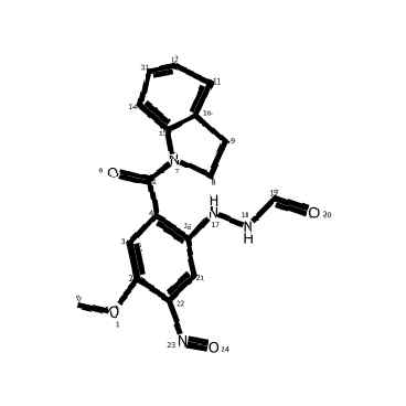 COc1cc(C(=O)N2CCc3ccccc32)c(NNC=O)cc1N=O